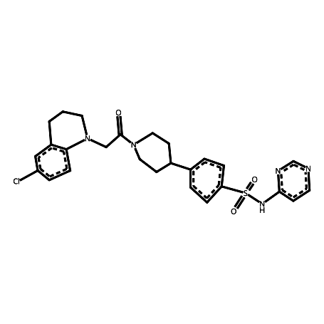 O=C(CN1CCCc2cc(Cl)ccc21)N1CCC(c2ccc(S(=O)(=O)Nc3ccncn3)cc2)CC1